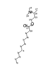 CCCCCCCCCCCC(=O)OCCC(C)N(C)C